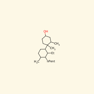 CCCCCC1C(C)CCC(C2(C)CCC(O)CC2C)C1CC